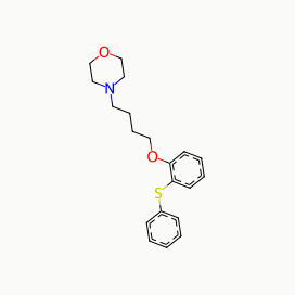 c1ccc(Sc2ccccc2OCCCCN2CCOCC2)cc1